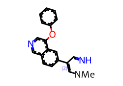 CN/C=C(\C=N)c1ccc2cncc(Oc3ccccc3)c2c1